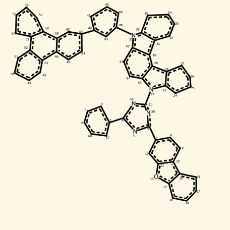 c1ccc(-c2nc(-c3ccc4c(c3)oc3ccccc34)nc(-n3c4ccccc4c4c5c6ccccc6n(-c6cccc(-c7ccc8c9ccccc9c9ccccc9c8c7)c6)c5ccc43)n2)cc1